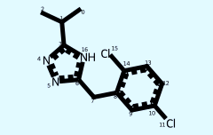 CC(C)c1nnc(Cc2cc(Cl)ccc2Cl)[nH]1